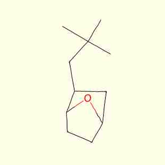 CC(C)(C)CC1CC2CCC1O2